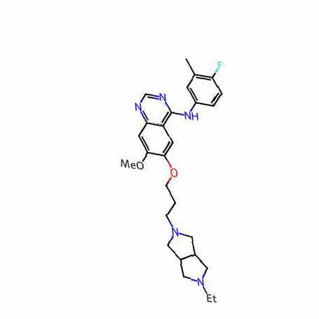 CCN1CC2CN(CCCOc3cc4c(Nc5ccc(F)c(C)c5)ncnc4cc3OC)CC2C1